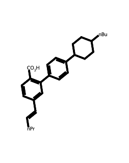 CCCC=Cc1ccc(C(=O)O)c(-c2ccc(C3CCC(CCCC)CC3)cc2)c1